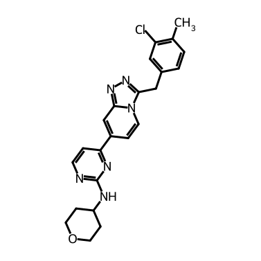 Cc1ccc(Cc2nnc3cc(-c4ccnc(NC5CCOCC5)n4)ccn23)cc1Cl